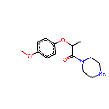 COc1ccc(OC(C)C(=O)N2CCNCC2)cc1